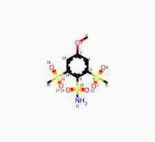 COc1cc(S(C)(=O)=O)c(S(N)(=O)=O)c(S(C)(=O)=O)c1